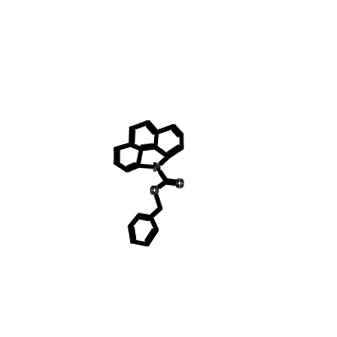 O=C(OCc1ccccc1)n1c2cccc3ccc4cccc1c4c32